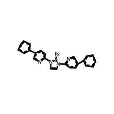 BrB1N(c2ccc(-c3ccccc3)cn2)C=CN1c1ccc(-c2ccccc2)cn1